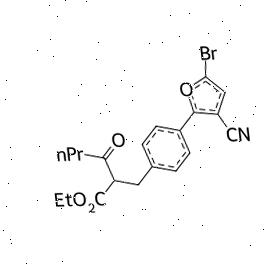 CCCC(=O)C(Cc1ccc(-c2oc(Br)cc2C#N)cc1)C(=O)OCC